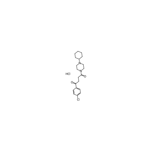 Cl.O=C(CCC(=O)N1CCN(C2CCCCC2)CC1)c1ccc(Cl)cc1